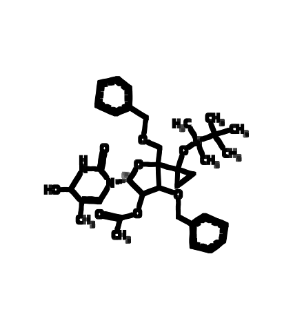 CC(=O)OC1C(OCc2ccccc2)C(COCc2ccccc2)(C2(O[Si](C)(C)C(C)(C)C)CC2)O[C@H]1N1C=C(C)C(O)NC1=O